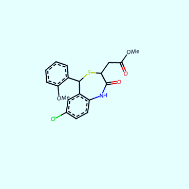 COC(=O)CC1SC(c2ccccc2OC)c2cc(Cl)ccc2NC1=O